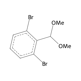 COC(OC)c1c(Br)cccc1Br